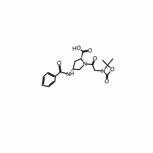 CC1(C)OC(=O)N1CC(=O)N1C[C@H](NC(=O)c2ccccc2)C[C@H]1C(=O)O